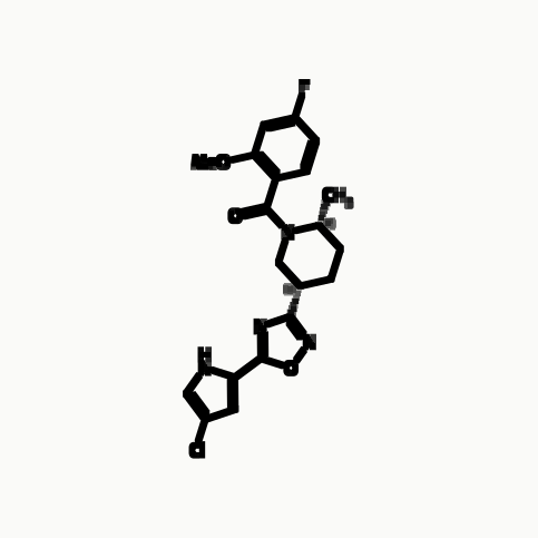 COc1cc(F)ccc1C(=O)N1C[C@@H](c2noc(-c3cc(Cl)c[nH]3)n2)CC[C@H]1C